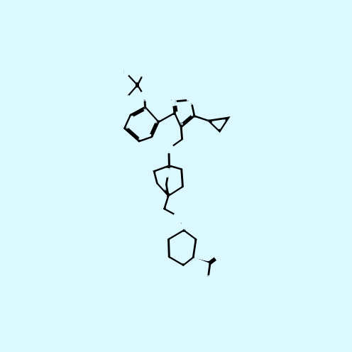 O=C(O)[C@H]1CCC[C@H](OCC23CCC(OCc4c(-c5ccccc5OC(F)(F)F)noc4C4CC4)(CC2)CC3)C1